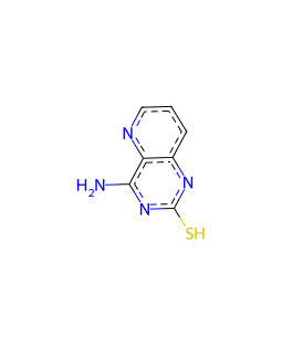 Nc1nc(S)nc2cccnc12